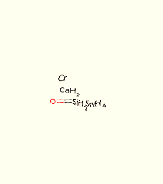 O=[SiH2].[CaH2].[Cr].[SnH4]